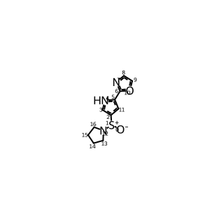 [O-][S+](c1c[nH]c(-c2ncco2)c1)N1CCCC1